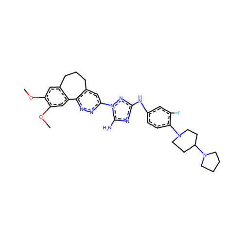 COc1cc2c(cc1OC)-c1nnc(-n3nc(Nc4ccc(N5CCC(N6CCCC6)CC5)c(F)c4)nc3N)cc1CCC2